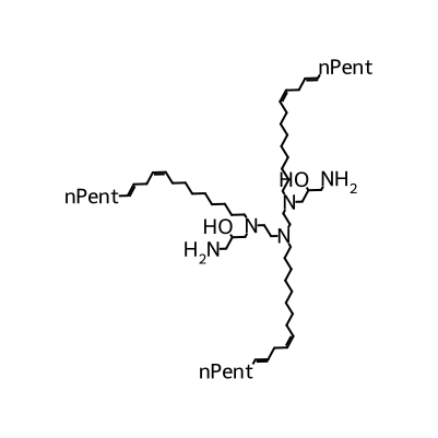 CCCCC/C=C/C/C=C\CCCCCCCCN(CCN(CCCCCCCC/C=C\C/C=C/CCCCC)CC(O)CN)CCN(CCCCCCCC/C=C\C/C=C/CCCCC)CC(O)CN